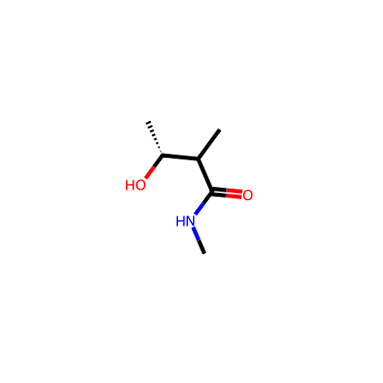 CNC(=O)C(C)[C@@H](C)O